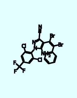 N#Cc1nn(-c2c(Cl)cc(C(F)(F)F)cc2Cl)c(N)c1/C(Br)=C(/Br)c1ccccc1